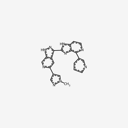 Cn1cc(-c2cc3c(-c4nc5c(-c6cccnc6)nccc5[nH]4)n[nH]c3cn2)cn1